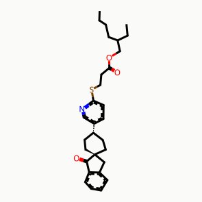 CCCCC(CC)COC(=O)CCSc1ccc([C@H]2CC[C@@]3(CC2)Cc2ccccc2C3=O)cn1